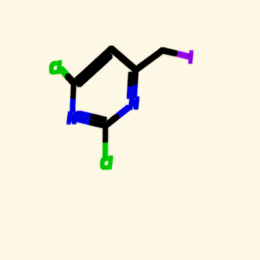 Clc1cc(CI)nc(Cl)n1